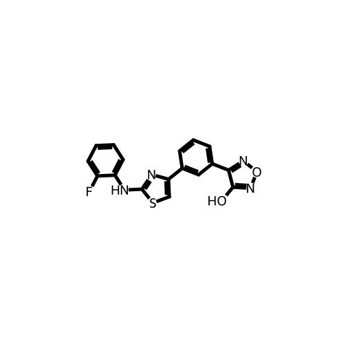 Oc1nonc1-c1cccc(-c2csc(Nc3ccccc3F)n2)c1